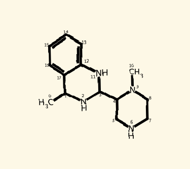 CC1NC(C2CNCCN2C)Nc2ccccc21